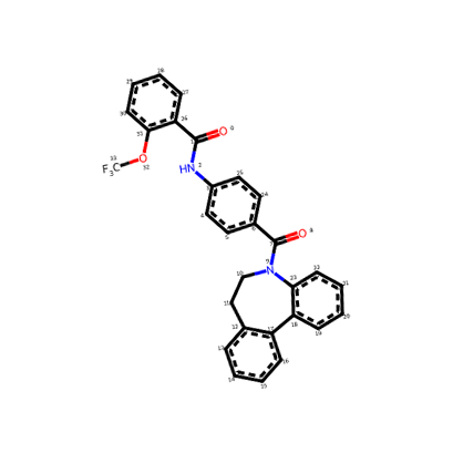 O=C(Nc1ccc(C(=O)N2CCc3ccccc3-c3ccccc32)cc1)c1ccccc1OC(F)(F)F